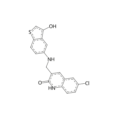 O=c1[nH]c2ccc(Cl)cc2cc1CNc1ccc2scc(O)c2c1